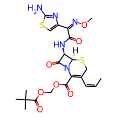 C/C=C\C1=C(C(=O)OCOC(=O)C(C)(C)C)N2C(=O)[C@@H](NC(=O)/C(=N\OC)c3csc(N)n3)[C@H]2SC1